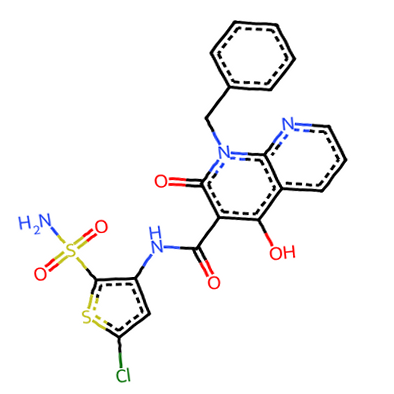 NS(=O)(=O)c1sc(Cl)cc1NC(=O)c1c(O)c2cccnc2n(Cc2ccccc2)c1=O